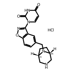 Cl.O=c1ccn(-c2noc3ccc(CN4[C@@H]5CC[C@H]4CNC5)cc23)c(=O)[nH]1